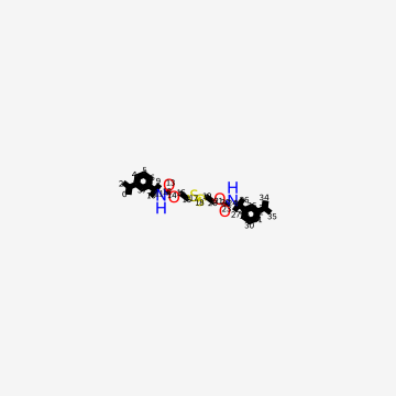 C=C(C)c1cccc(C(C)(C)NC(=O)OCCSSCCOC(=O)NC(C)(C)c2cccc(C(=C)C)c2)c1